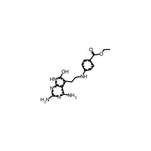 CCOC(=O)c1ccc(NCCc2c(O)[nH]c3nc(N)nc(N)c23)cc1